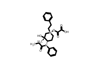 CCC(=O)N(c1ccccc1)[C@H]1CC[N+](CCc2ccccc2)(OC(=O)C(=O)O)C[C@@]1(C)O